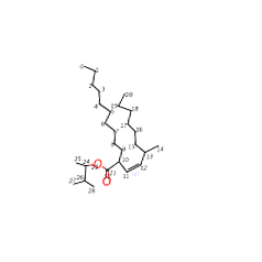 CCCCCCCCCCC(/C=C\C(C)CCCCCC)C(=O)OC(C)C(C)C